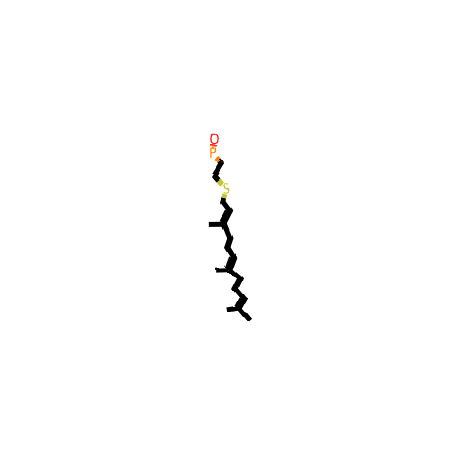 CC(C)=CCC/C(C)=C/CC/C(C)=C/CSCCP=O